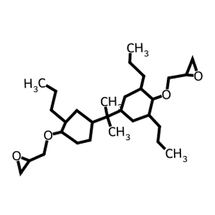 CCCC1CC(C(C)(C)C2CC(CCC)C(OCC3CO3)C(CCC)C2)CCC1OCC1CO1